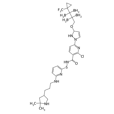 BC(B)(COC1C=CN(c2ccc(C(=O)NSc3cccc(NCCCC4CNC(C)(C)C4)n3)c(Cl)n2)N1)C(B)(B)C1(C(F)(F)F)CC1